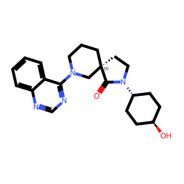 O=C1N([C@H]2CC[C@H](O)CC2)CC[C@]12CCCN(c1ncnc3ccccc13)C2